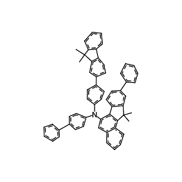 CC1(C)c2ccccc2-c2ccc(-c3ccc(N(c4ccc(-c5ccccc5)cc4)c4cc5ccccc5c5c4-c4ccc(-c6ccccc6)cc4C5(C)C)cc3)cc21